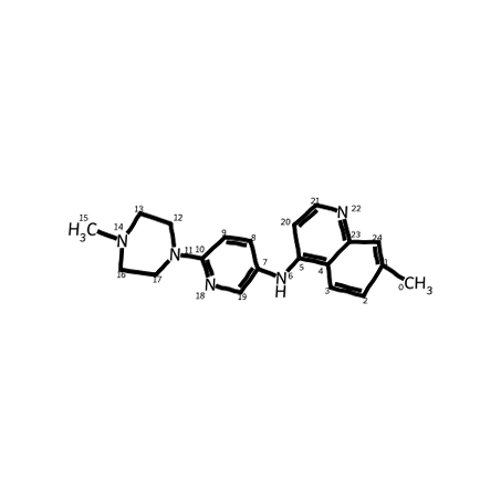 Cc1ccc2c(Nc3ccc(N4CCN(C)CC4)nc3)ccnc2c1